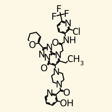 CCc1c(N2CCN(C(=O)c3ncccc3O)CC2)c(=O)n2nc(C3=CCCCO3)nc2n1CC(=O)Nc1ccc(C(F)(F)F)nc1Cl